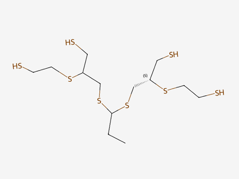 CCC(SCC(CS)SCCS)SC[C@H](CS)SCCS